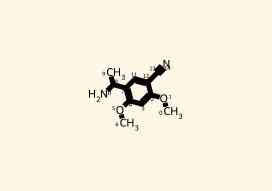 COc1cc(OC)c(C(C)N)cc1C#N